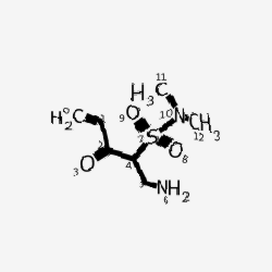 C=CC(=O)C(CN)S(=O)(=O)N(C)C